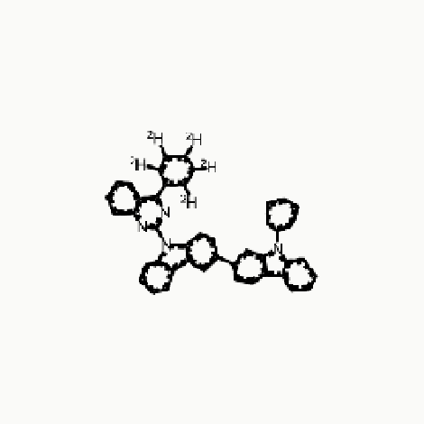 [2H]c1c([2H])c([2H])c(-c2nc(-n3c4ccccc4c4cc(-c5ccc6c7ccccc7n(-c7ccccc7)c6c5)ccc43)nc3ccccc23)c([2H])c1[2H]